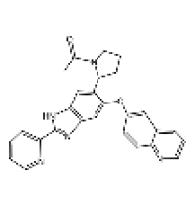 CC(=O)N1CCCC1c1cc2[nH]c(-c3ccccn3)nc2cc1Oc1ccc2ncccc2c1